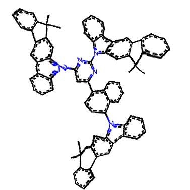 CC1(C)c2ccccc2-c2cc3c4ccccc4n(-c4cc(-c5ccc(-n6c7ccccc7c7cc8c(cc76)C(C)(C)c6ccccc6-8)c6ccccc56)nc(-n5c6ccccc6c6cc7c(cc65)C(C)(C)c5ccccc5-7)n4)c3cc21